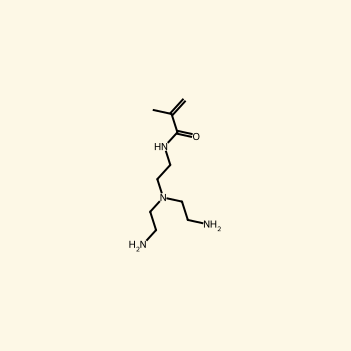 C=C(C)C(=O)NCCN(CCN)CCN